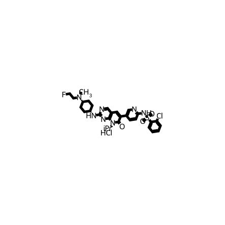 CC(C)n1c(=O)c(-c2ccc(NS(=O)(=O)c3ccccc3Cl)nc2)cc2cnc(N[C@H]3CC[C@H](N(C)CCF)CC3)nc21.Cl